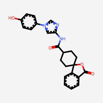 O=C1OC2(CCC(C(=O)Nc3cn(-c4ccc(O)cc4)cn3)CC2)c2ccccc21